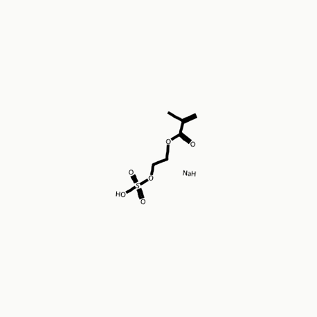 C=C(C)C(=O)OCCOS(=O)(=O)O.[NaH]